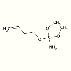 C=CCCO[Si](N)(OC)OC